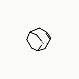 C1=C\CC2CCC(C/1)CN2